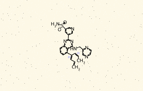 C=C/C=C(\C=C/C)c1cccc2nc(-c3cncc(S(N)(=O)=O)c3)nc(NCc3cnccn3)c12